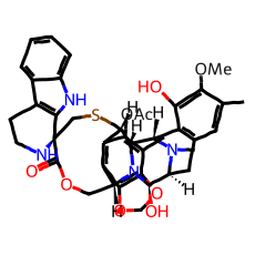 COc1c(C)cc2c(c1O)[C@H]1[C@H]3[C@H]4SC[C@]5(NCCc6c5[nH]c5ccccc65)C(=O)OC[C@H](c5c6c(c(C)c(OC(C)=O)c54)OCO6)N3[C@H](O)[C@H](C2)N1C